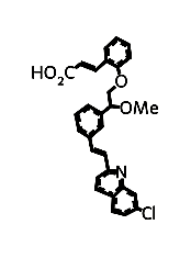 COC(COc1ccccc1C=CC(=O)O)c1cccc(/C=C/c2ccc3ccc(Cl)cc3n2)c1